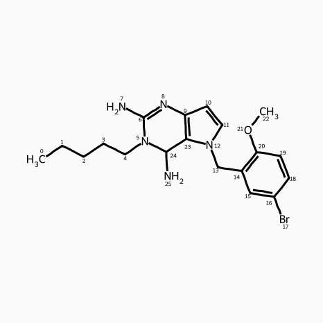 CCCCCN1C(N)=Nc2ccn(Cc3cc(Br)ccc3OC)c2C1N